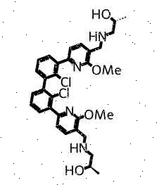 COc1nc(-c2cccc(-c3cccc(-c4ccc(CNC[C@@H](C)O)c(OC)n4)c3Cl)c2Cl)ccc1CNC[C@@H](C)O